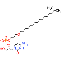 CC(C)CCCCCCCCCCCCCCOCCCOP(=O)(O)COC(CO)CN1C=CC(N)NC1=O